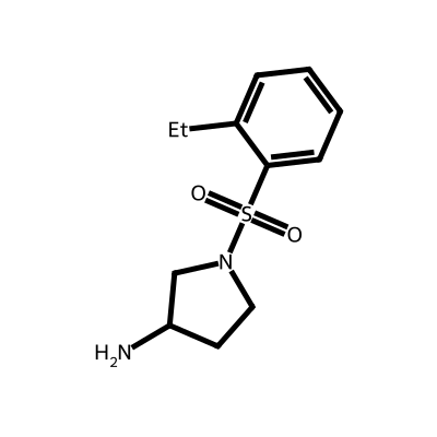 CCc1ccccc1S(=O)(=O)N1CCC(N)C1